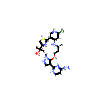 C[C@@H](CCOc1c(-c2nccc(N)n2)cnn1C)Nc1cc(Cl)ncc1-c1nc(C(C)(C)O)cs1